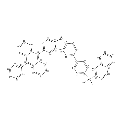 CC1(C)c2ccc(-c3ccc4oc5ccc(-c6c7ccccc7c(-c7ccccc7)c7ccccc67)cc5c4c3)cc2-c2c1ccc1ccccc21